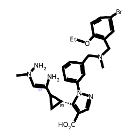 CCOc1ccc(Br)cc1CN(C)Cc1cccc(-n2ncc(C(=O)O)c2[C@@H]2CC2/C(N)=C/N(C)N)c1